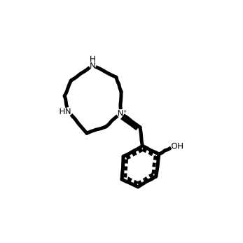 Oc1ccccc1C=[N+]1CCNCCNCC1